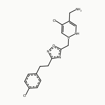 NCC1=CNN(Cc2nc(CCc3ccc(Cl)cc3)no2)C=C1Cl